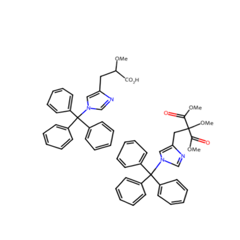 COC(=O)C(Cc1cn(C(c2ccccc2)(c2ccccc2)c2ccccc2)cn1)(OC)C(=O)OC.COC(Cc1cn(C(c2ccccc2)(c2ccccc2)c2ccccc2)cn1)C(=O)O